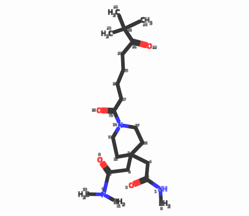 BNC(=O)CC1(CC(=O)N(B)B)CCN(C(=O)CCCCC(=O)C(C)(C)C)CC1